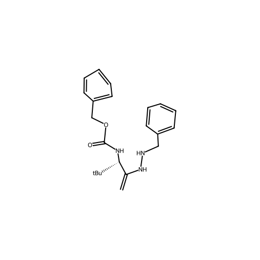 C=C(NNCc1ccccc1)[C@@H](NC(=O)OCc1ccccc1)C(C)(C)C